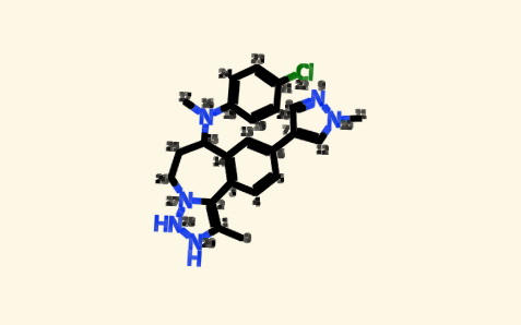 CC1=C2c3ccc(-c4cnn(C)c4)cc3C(N(C)c3ccc(Cl)cc3)CCN2NN1